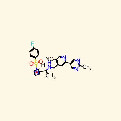 C=C(NCc1cc(-c2cnc(C(F)(F)F)nc2)ncc1C#N)[C@@H]1C2CC(C2)N1S(=O)(=O)c1ccc(F)cc1